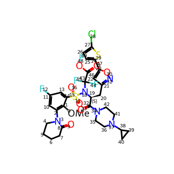 COc1c(N2CCCCC2=O)cc(F)cc1S(=O)(=O)N([C@@H](Cc1cc(-c2ccc(Cl)s2)on1)C(=O)N1CCN(C2CC2)CC1)C(F)(F)C(=O)OF